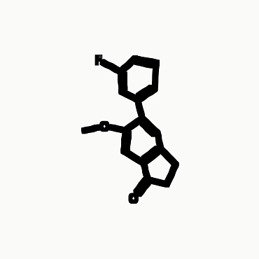 COc1cc2c(cc1-c1cccc(F)c1)CCC2=O